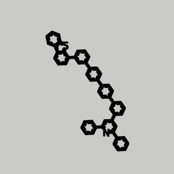 c1ccc(-c2cc(-c3cccc(-c4ccc(-c5ccc(-c6cccc(-c7cccc8c7sc7ccccc78)c6)cc5)cc4)c3)cc(-c3ccccc3)n2)cc1